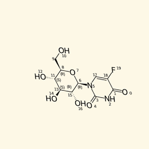 O=c1[nH]c(=O)n([C@@H]2O[C@H](CO)[C@@H](O)[C@H](O)[C@H]2O)cc1F